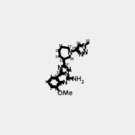 COc1cccc2c1nc(N)n1nc(C3CCCCN(c4cn(C)nn4)C3)nc21